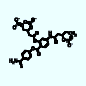 CCC(CC(=O)Nc1ccc(C(=O)Oc2ccc(C(N)=S)cc2)c(OC(=O)CC(CO[N+](=O)[O-])O[N+](=O)[O-])c1)O[N+](=O)[O-]